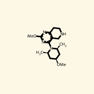 COc1nc2c(c(N3[C@H](C)C[C@H](OC)C[C@@H]3C)n1)CNCC2